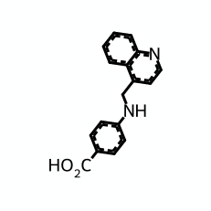 O=C(O)c1ccc(NCc2ccnc3ccccc23)cc1